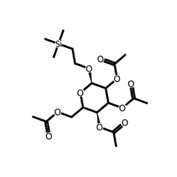 CC(=O)OCC1O[C@@H](OCC[Si](C)(C)C)C(OC(C)=O)C(OC(C)=O)[C@H]1OC(C)=O